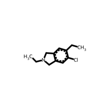 CCc1cc2c(cc1Cl)CN(CC)C2